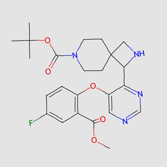 COC(=O)c1cc(F)ccc1Oc1cncnc1C1NCC12CCN(C(=O)OC(C)(C)C)CC2